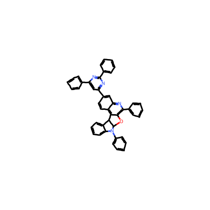 c1ccc(-c2cc(-c3ccc4c5c(c(-c6ccccc6)nc4c3)OC3C5c4ccccc4N3c3ccccc3)nc(-c3ccccc3)n2)cc1